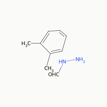 Cc1ccccc1C.NNC=O